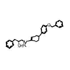 O[C@H](CNC1CCC(c2ccc(OCc3ccccc3)cc2)CC1)Cc1ccccc1